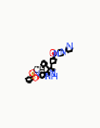 CN(c1ccc2[nH]c3ncc(-c4ccc(C(=O)N5CCN(c6cccnc6)CC5)cc4)c(-c4ccccc4)c3c2c1)S(=O)(=O)c1ccccc1